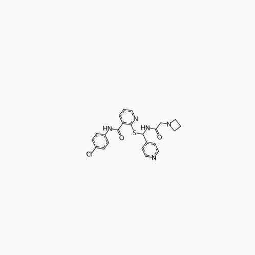 O=C(CN1CCC1)NC(Sc1ncccc1C(=O)Nc1ccc(Cl)cc1)c1ccncc1